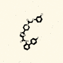 O=C(Nc1ccccc1-c1ccc(F)cc1)c1csc(C2CCN(C(=O)COc3cccc(Cl)c3)CC2)n1